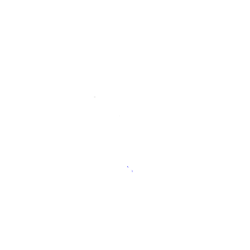 CC1(C)CC(C)(C)c2c1ncc(I)c2Cl